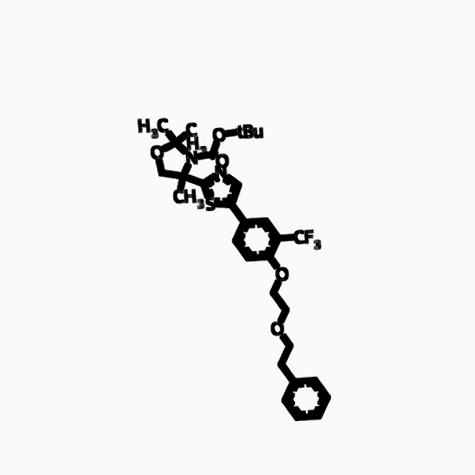 CC(C)(C)OC(=O)N1C(C)(C)OCC1(C)c1ncc(-c2ccc(OCCOCCc3ccccc3)c(C(F)(F)F)c2)s1